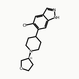 Clc1cc2cn[nH]c2cc1C1CCN([C@H]2CCOC2)CC1